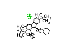 C=c1cc2c(c(C3=CC=CC3)c1C(C)(C)C)=[C]([Zr+2][CH2]C1CCCCC1)c1cc(C(C)(C)C)ccc1-2.[Cl-].[Cl-]